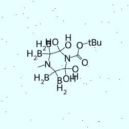 BC1(B)N(C)C(B)(B)C(O)(O)N(C(=O)OC(C)(C)C)C1(O)O